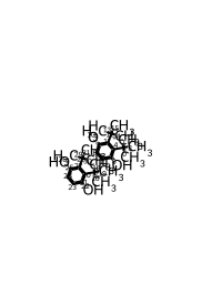 CC(C)(C)c1c(O)ccc(O)c1C(C)(C)C.CC(C)(C)c1c(O)ccc(O)c1C(C)(C)C